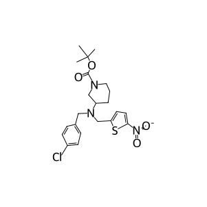 CC(C)(C)OC(=O)N1CCCC(N(Cc2ccc(Cl)cc2)Cc2ccc([N+](=O)[O-])s2)C1